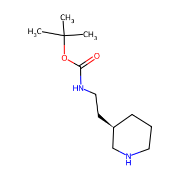 CC(C)(C)OC(=O)NCC[C@H]1CCCNC1